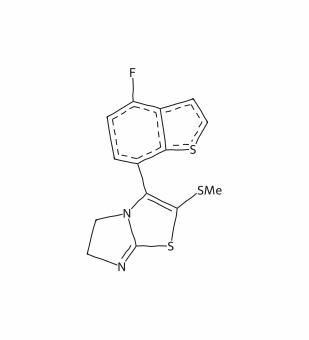 CSC1=C(c2ccc(F)c3ccsc23)N2CCN=C2S1